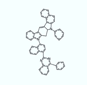 C1=C2c3c(ccc4ccccc34)N(c3ccccc3)C2Cc2c1c1ccccc1n2-c1ccc(-c2nc(-c3ccccc3)c3ccccc3n2)c2ccccc12